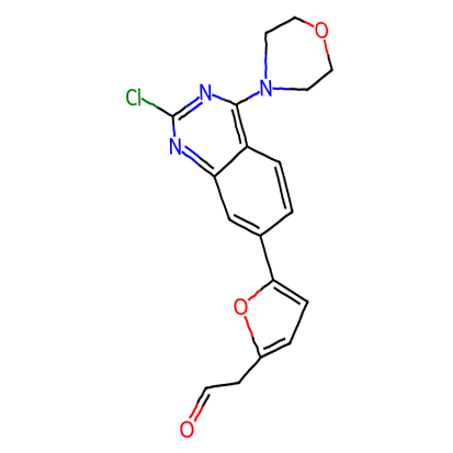 O=CCc1ccc(-c2ccc3c(N4CCOCC4)nc(Cl)nc3c2)o1